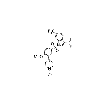 COc1ccc(S(=O)(=O)n2cc(C(F)F)c3ccc(C(F)(F)F)cc32)cc1N1CCN(C2CC2)CC1